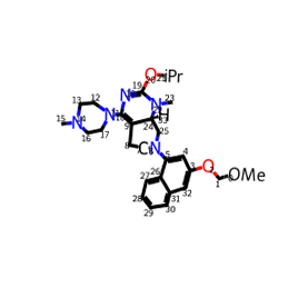 COCOc1cc(N2CCC3=C(N4CCN(C)CC4)N=C(OC(C)C)N(C)[C@@H]3C2)c2ccccc2c1